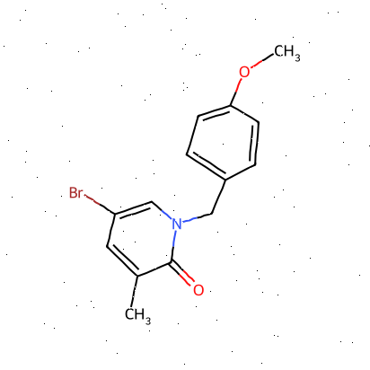 COc1ccc(Cn2cc(Br)cc(C)c2=O)cc1